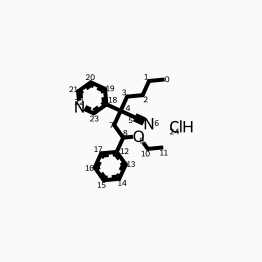 CCCCC(C#N)(CC(OCC)c1ccccc1)c1cccnc1.Cl